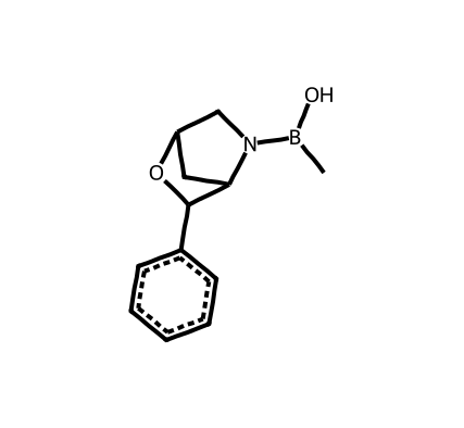 CB(O)N1CC2CC1C(c1ccccc1)O2